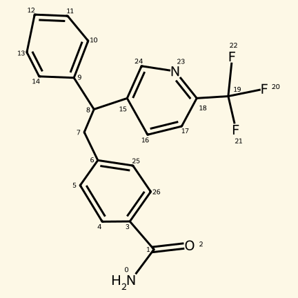 NC(=O)c1ccc(CC(c2ccccc2)c2ccc(C(F)(F)F)nc2)cc1